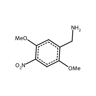 COc1cc([N+](=O)[O-])c(OC)cc1CN